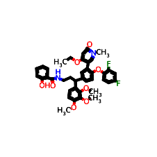 CCOc1cc(=O)n(C)cc1-c1cc(C(CCNC(=O)c2ccccc2O)c2ccc(OC)c(OC)c2OC)ccc1Oc1ccc(F)cc1F